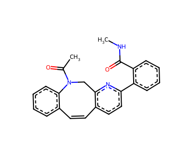 CNC(=O)c1ccccc1-c1ccc2c(n1)CN(C(C)=O)c1ccccc1C=C2